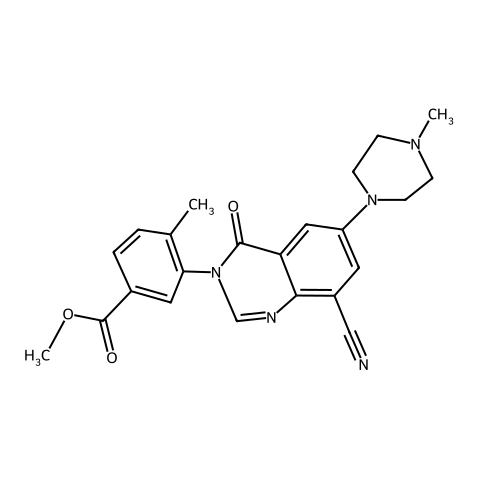 COC(=O)c1ccc(C)c(-n2cnc3c(C#N)cc(N4CCN(C)CC4)cc3c2=O)c1